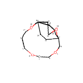 C1COCCOCC23CCC(CCO2)(CC3)OC1